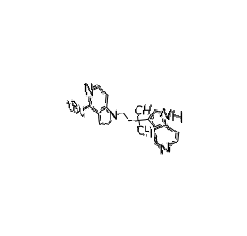 CC(C)(C)c1nccc2c1ccn2CCC(C)(C)c1c[nH]c2ccncc12